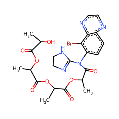 CC(O)C(=O)OC(C)C(=O)OC(C)C(=O)OC(C)C(=O)N(C1=NCCN1)c1ccc2nccnc2c1Br